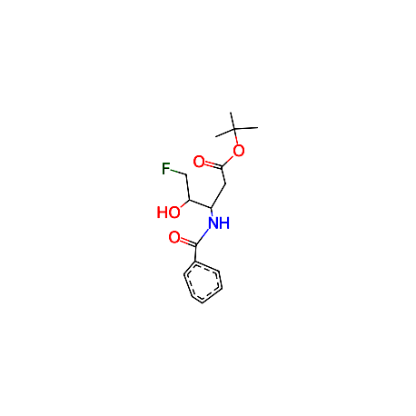 CC(C)(C)OC(=O)CC(NC(=O)c1ccccc1)C(O)CF